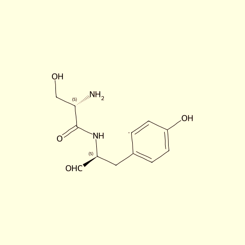 N[C@@H](CO)C(=O)N[C@H](C=O)Cc1[c]cc(O)cc1